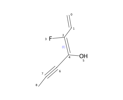 C=C/C(F)=C(\O)C#CC